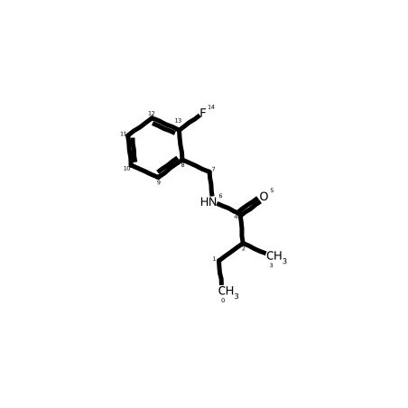 CCC(C)C(=O)NCc1ccccc1F